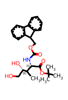 CC([C@H](NC(=O)OCC1c2ccccc2-c2ccccc21)C(=O)OC(C)(C)C)[C@@H](O)CO